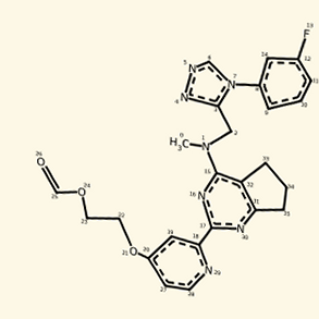 CN(Cc1nncn1-c1cccc(F)c1)c1nc(-c2cc(OCCOC=O)ccn2)nc2c1CCC2